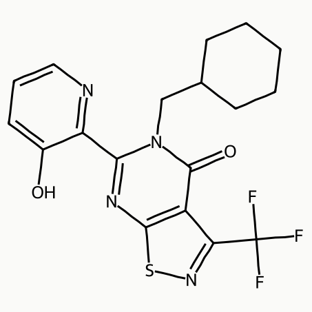 O=c1c2c(C(F)(F)F)nsc2nc(-c2ncccc2O)n1CC1CCCCC1